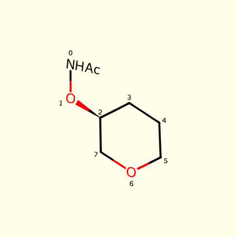 CC(=O)NO[C@H]1CCCOC1